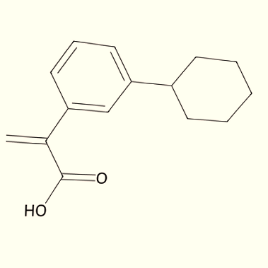 C=C(C(=O)O)c1cccc(C2CCCCC2)c1